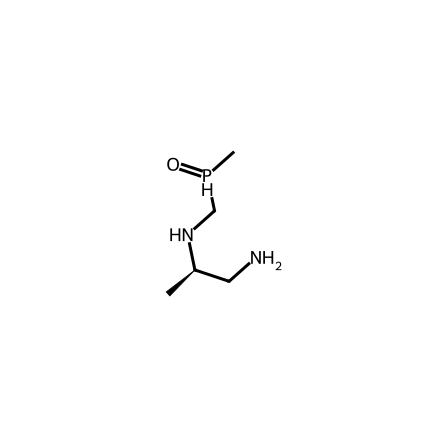 C[C@H](CN)NC[PH](C)=O